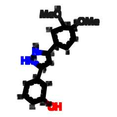 COc1ccc(-c2cc(-c3cccc(O)c3)[nH]n2)cc1OC